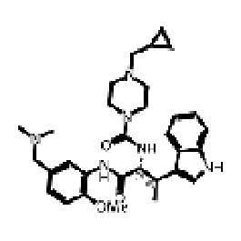 COc1ccc(CN(C)C)cc1NC(=O)[C@H](NC(=O)N1CCN(CC2CC2)CC1)[C@H](C)c1c[nH]c2ccccc12